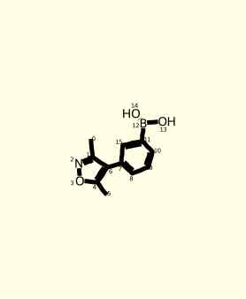 Cc1noc(C)c1-c1cccc(B(O)O)c1